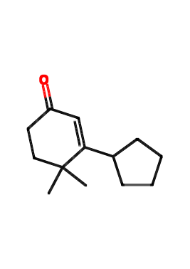 CC1(C)CCC(=O)C=C1C1CCCC1